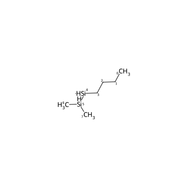 CCCC[SiH][SiH](C)C